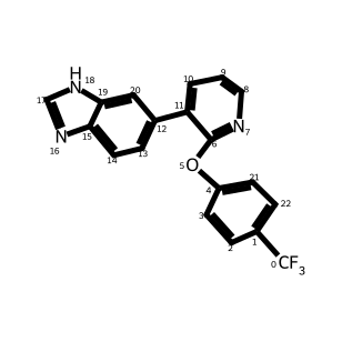 FC(F)(F)c1ccc(Oc2ncccc2-c2ccc3nc[nH]c3c2)cc1